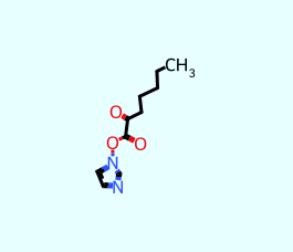 CCCCCC(=O)C(=O)On1ccnc1